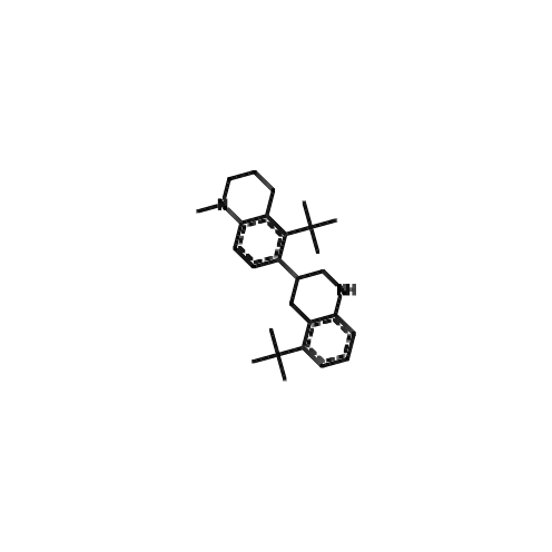 CN1CCCc2c1ccc(C1CNc3cccc(C(C)(C)C)c3C1)c2C(C)(C)C